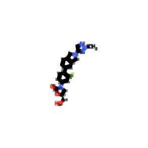 Cn1ncc(N2Cc3ccc(-c4ccc(N5C[C@H](CO)OC5=O)cc4F)cc3C2)n1